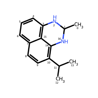 CC1Nc2cccc3ccc(C(C)C)c(c23)N1